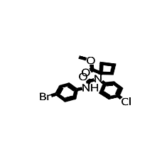 COC(=O)C1(N(C(=O)Nc2ccc(Br)cc2)c2ccc(Cl)cc2)CCC1